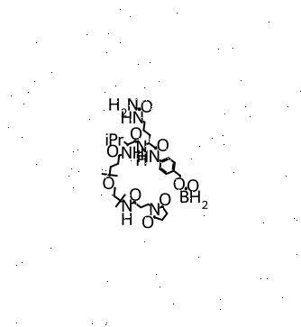 BC(=O)OCc1ccc(NC(=O)[C@H](CCCNC(N)=O)NC(=O)C(NC(=O)CCC(C)(C)OCCC(C)(C)NC(=O)CCN2C(=O)CCC2=O)C(C)C)cc1